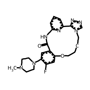 CN1CCN(c2cc3c(cc2F)OCCCCn2cnnc2-c2cccc(n2)NC3=O)CC1